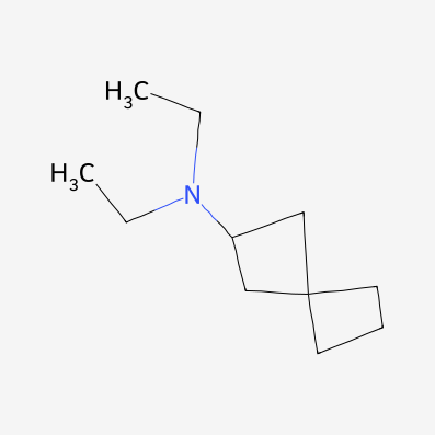 CCN(CC)C1CC2(CCC2)C1